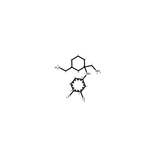 NCC1CCCC(CN)(Nc2ccc(F)c(Cl)c2)C1